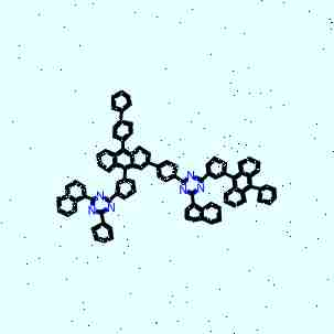 c1ccc(-c2ccc(-c3c4ccccc4c(-c4cccc(-c5nc(-c6ccccc6)nc(-c6cccc7ccccc67)n5)c4)c4cc(-c5ccc(-c6nc(-c7cccc(-c8c9ccccc9c(-c9ccccc9)c9ccccc89)c7)nc(-c7cccc8ccccc78)n6)cc5)ccc34)cc2)cc1